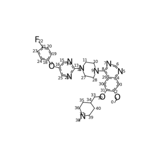 COc1cc2ncnc(N3CCN(c4ncc(Oc5ccc(F)cc5)cn4)CC3)c2cc1OCC1CCN(C)CC1